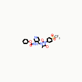 CC1C(=O)N(c2ccc(S(=O)(=O)C(F)(F)F)cc2)C(=O)N1Cc1ccncc1NC(=O)Oc1ccccc1